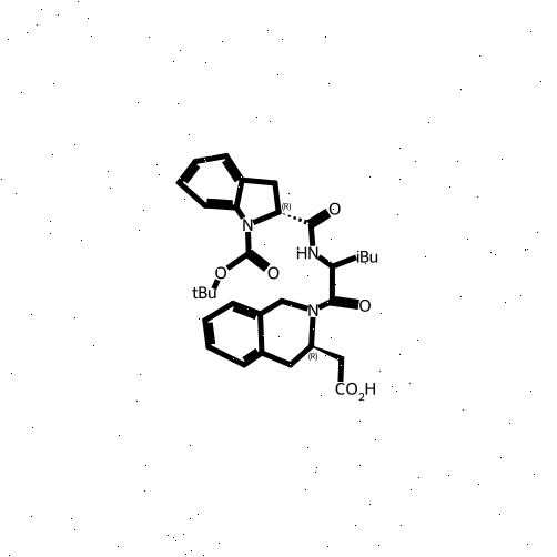 CCC(C)C(NC(=O)[C@H]1Cc2ccccc2N1C(=O)OC(C)(C)C)C(=O)N1Cc2ccccc2C[C@@H]1CC(=O)O